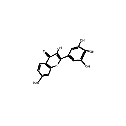 CCCCCCCCCc1ccc2c(=O)c(O)c(-c3cc(O)c(O)c(O)c3)oc2c1